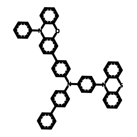 c1ccc(-c2ccc(N(c3ccc(-c4ccc5c(c4)Oc4ccccc4N5c4ccccc4)cc3)c3ccc(N4c5ccccc5Sc5ccccc54)cc3)cc2)cc1